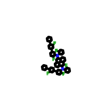 Fc1cc(-c2ccc(F)c(N(c3ccccc3F)c3cc4cccc5c(N(c6ccccc6F)c6cc(-c7ccc(-c8ccccc8)c(F)c7)ccc6F)cc6cccc3c6c45)c2)ccc1-c1ccccc1